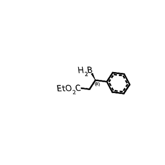 B[C@H](CC(=O)OCC)c1ccccc1